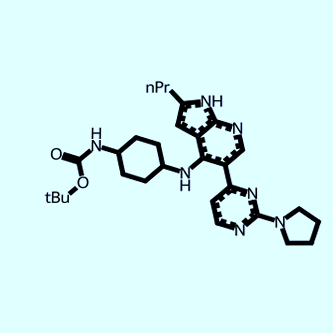 CCCc1cc2c(NC3CCC(NC(=O)OC(C)(C)C)CC3)c(-c3ccnc(N4CCCC4)n3)cnc2[nH]1